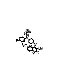 Cn1c(=O)c(C#N)c(N(C)[C@H]2CC[C@@H](/C(=N/OC(C)(C)C)c3ccc(F)cc3)CC2)c2nc(C#N)ccc21